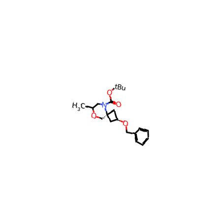 CC1CN(C(=O)OC(C)(C)C)[C@]2(CO1)C[C@H](OCc1ccccc1)C2